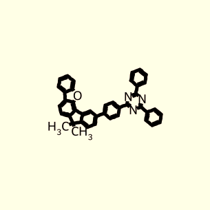 CC1(C)c2ccc(-c3ccc(-c4nc(-c5ccccc5)nc(-c5ccccc5)n4)cc3)cc2-c2c1ccc1c2oc2ccccc21